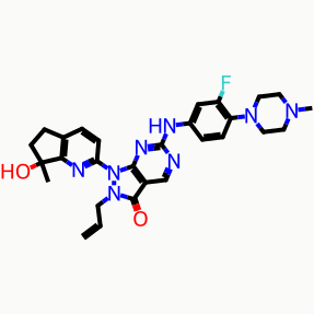 C=CCn1c(=O)c2cnc(Nc3ccc(N4CCN(C)CC4)c(F)c3)nc2n1-c1ccc2c(n1)C(C)(O)CC2